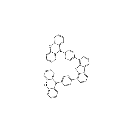 c1ccc2c(c1)Oc1ccccc1N2c1ccc(-c2cccc3c2sc2c(-c4ccc(N5c6ccccc6Oc6ccccc65)cc4)cccc23)cc1